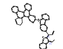 C=C/C(c1ccc2c(c1)c1ccccc1n2-c1ccc2c(c1)c1ccccc1c1c3ccccc3c3c(c21)CCC=C3)=c1/sc2ccccc2/c1=C/C